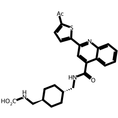 CC(=O)c1ccc(-c2cc(C(=O)NC[C@H]3CC[C@H](CNC(=O)O)CC3)c3ccccc3n2)s1